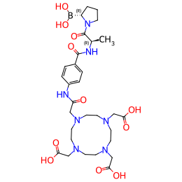 C[C@@H](NC(=O)c1ccc(NC(=O)CN2CCN(CC(=O)O)CCN(CC(=O)O)CCN(CC(=O)O)CC2)cc1)C(=O)N1CCC[C@H]1B(O)O